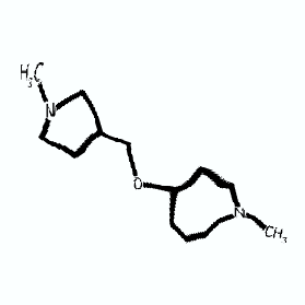 CN1CCC(OCC2CCN(C)C2)CC1